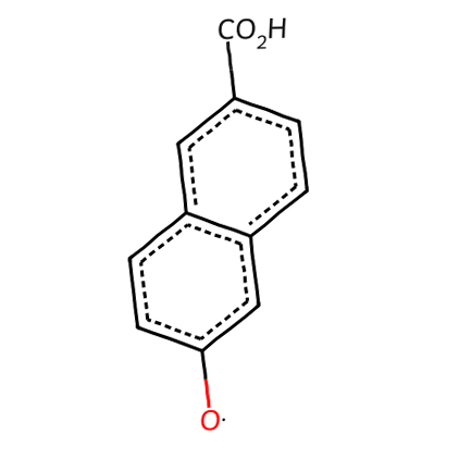 [O]c1ccc2cc(C(=O)O)ccc2c1